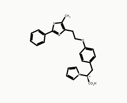 Cc1sc(-c2ccccc2)nc1CCOc1ccc(C[C@@H](C(=O)O)n2cccc2)cc1